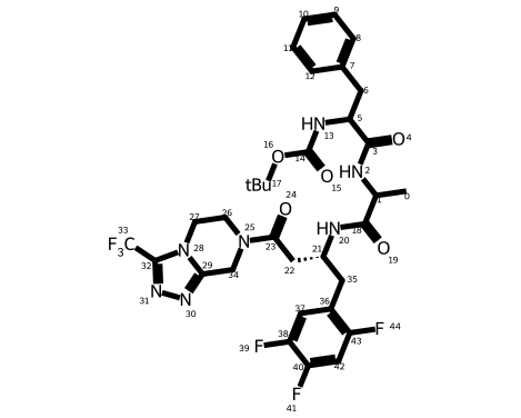 CC(NC(=O)C(Cc1ccccc1)NC(=O)OC(C)(C)C)C(=O)N[C@@H](CC(=O)N1CCn2c(nnc2C(F)(F)F)C1)Cc1cc(F)c(F)cc1F